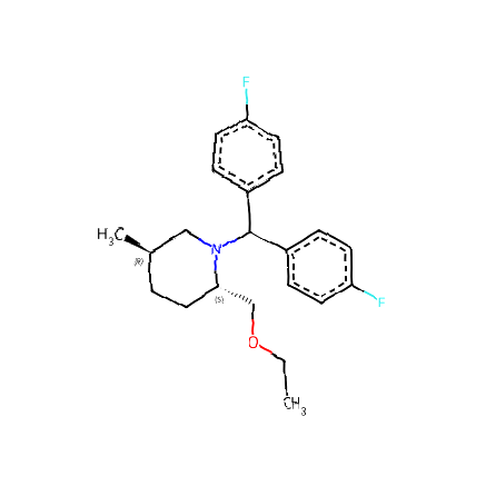 CCOC[C@@H]1CC[C@@H](C)CN1C(c1ccc(F)cc1)c1ccc(F)cc1